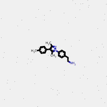 Cc1ccc(-c2c(C)nn(-c3ccc(CCN)cc3)c2C)cc1